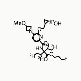 [2H]CC([2H])C(NC(=O)c1ccc(N2CC(OC)C2)c(OCC2C[C@@H]2CO)n1)(C(=O)OCCCF)C([2H])C[2H]